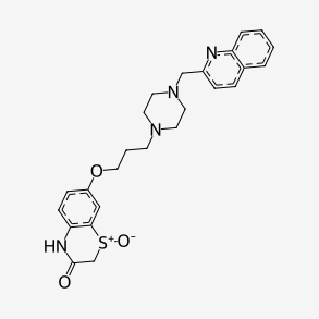 O=C1C[S+]([O-])c2cc(OCCCN3CCN(Cc4ccc5ccccc5n4)CC3)ccc2N1